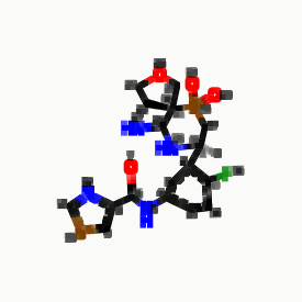 C[C@@]1(c2cc(NC(=O)c3cscn3)ccc2F)CS(=O)(=O)[C@]2(CCOC2)C(=N)N1